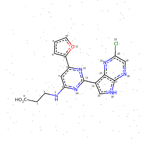 O=C(O)CCNc1cc(-c2ccco2)nc(-c2c[nH]c3ncc(Cl)nc23)n1